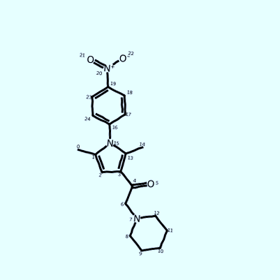 Cc1cc(C(=O)CN2CCCCC2)c(C)n1-c1ccc([N+](=O)[O-])cc1